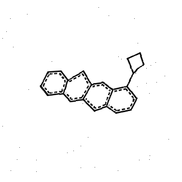 c1ccc2cc3cc4c([C]5CCC5)cccc4cc3cc2c1